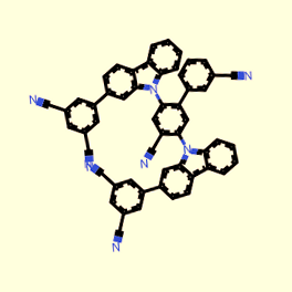 N#Cc1cc(C#N)cc(-c2ccc3c4ccccc4n(-c4cc(-c5cccc(C#N)c5)c(-n5c6ccccc6c6ccc(-c7cc(C#N)cc(C#N)c7)cc65)cc4C#N)c3c2)c1